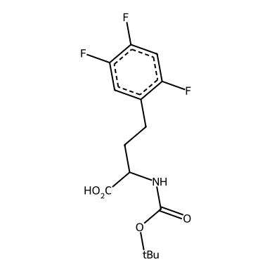 CC(C)(C)OC(=O)NC(CCc1cc(F)c(F)cc1F)C(=O)O